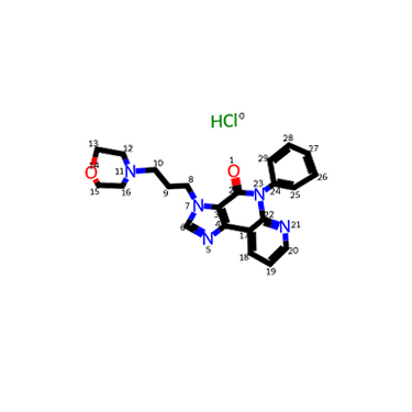 Cl.O=c1c2c(ncn2CCCN2CCOCC2)c2cccnc2n1-c1ccccc1